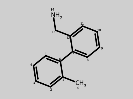 Cc1ccccc1-c1ccccc1CN